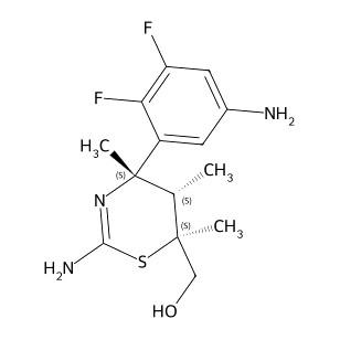 C[C@@H]1[C@@](C)(CO)SC(N)=N[C@]1(C)c1cc(N)cc(F)c1F